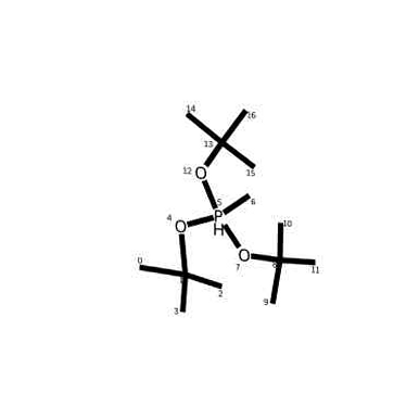 CC(C)(C)O[PH](C)(OC(C)(C)C)OC(C)(C)C